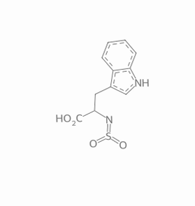 O=C(O)C(Cc1c[nH]c2ccccc12)N=S(=O)=O